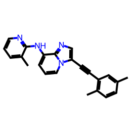 Cc1ccc(C)c(C#Cc2cnc3c(Nc4ncccc4C)cccn23)c1